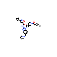 C=CC(=O)N1CC[C@]2(C1)C[C@H](n1c(NC(=O)c3cc(C4CCC4)no3)nc3cc(CN4CCCC4)ccc31)C2